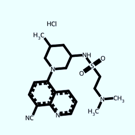 CC1CC(NS(=O)(=O)CCN(C)C)CN(c2ccc(C#N)c3ncccc23)C1.Cl